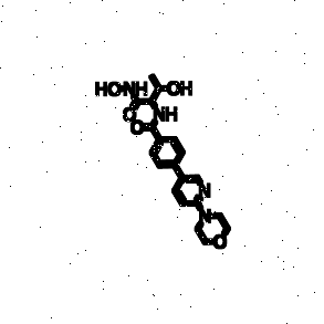 CC(O)C(NC(=O)c1ccc(-c2ccc(N3CCOCC3)nc2)cc1)C(=O)NO